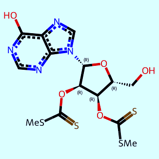 CSC(=S)O[C@@H]1[C@H](OC(=S)SC)[C@@H](CO)O[C@H]1n1cnc2c(O)ncnc21